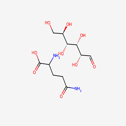 NC(=O)CCC(N)C(=O)O.O=C[C@H](O)[C@@H](O)[C@H](O)[C@H](O)CO